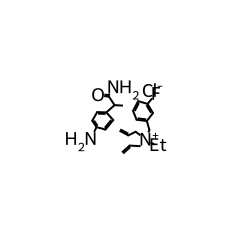 C=CC[N+](CC)(CC=C)Cc1cccc(F)c1.CC(C(N)=O)c1ccc(N)cc1.[Cl-]